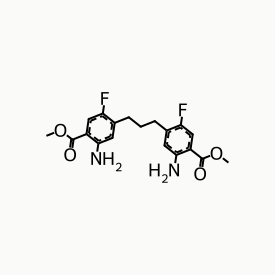 COC(=O)c1cc(F)c(CCCc2cc(N)c(C(=O)OC)cc2F)cc1N